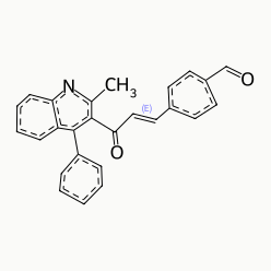 Cc1nc2ccccc2c(-c2ccccc2)c1C(=O)/C=C/c1ccc(C=O)cc1